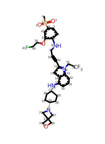 CS(=O)(=O)c1ccc(NCC#Cc2cc3c(N[C@H]4CC[C@@H](N5CC6(COC6)C5)CC4)cccc3n2CC(F)(F)F)c(OCCF)c1